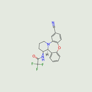 N#Cc1ccc2c(c1)N1CCC[C@H](NC(=O)C(F)(F)F)[C@@H]1c1ccccc1O2